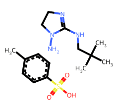 CC(C)(C)CNC1=NCCN1N.Cc1ccc(S(=O)(=O)O)cc1